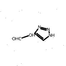 O=[C]O.[c]1c[nH]nn1